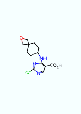 O=C(O)c1cnc(Cl)nc1NC1CCC2(CC1)COC2